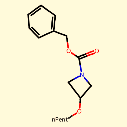 CCCCCOC1CN(C(=O)OCc2ccccc2)C1